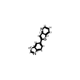 [c]1c(-c2ccc3ncsc3c2)sc2cccnc12